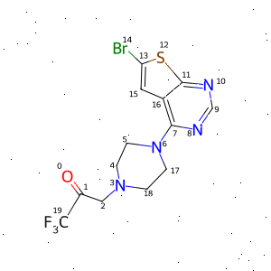 O=C(CN1CCN(c2ncnc3sc(Br)cc23)CC1)C(F)(F)F